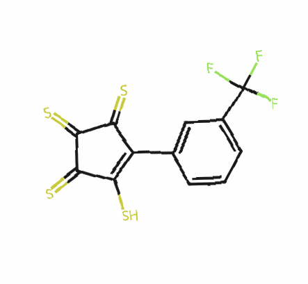 FC(F)(F)c1cccc(-c2c(S)c(=S)c(=S)c2=S)c1